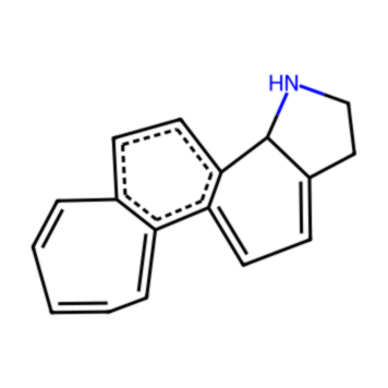 C1=CC=c2c(ccc3c2=CC=C2CCNC23)C=C1